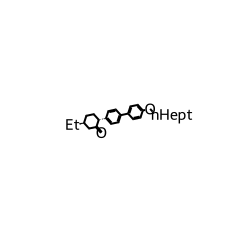 CCCCCCCOc1ccc(-c2ccc([C@H]3CC[C@H](CC)CC3=O)cc2)cc1